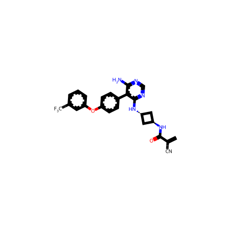 C=C(C#N)C(=O)N[C@H]1C[C@H](Nc2ncnc(N)c2-c2ccc(Oc3cccc(C(F)(F)F)c3)cc2)C1